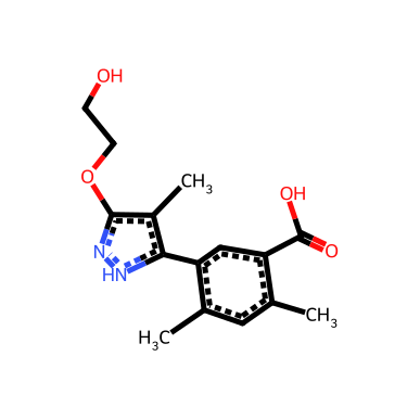 Cc1cc(C)c(-c2[nH]nc(OCCO)c2C)cc1C(=O)O